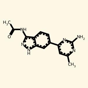 CC(=O)Nc1n[nH]c2cc(-c3cc(C)nc(N)n3)ccc12